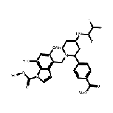 COC(=O)c1ccc(C2CC(NC(F)C(F)F)CCN2Cc2c(OC)cc(C)c3c2ccn3C(=O)OC(C)(C)C)cc1